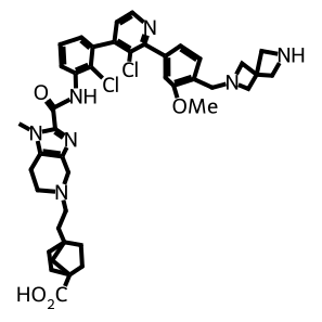 COc1cc(-c2nccc(-c3cccc(NC(=O)c4nc5c(n4C)CCN(CCC46CCC(C(=O)O)(CC4)C6)C5)c3Cl)c2Cl)ccc1CN1CC2(CNC2)C1